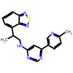 Cc1ccc(-c2cc(NCC(C)c3cccc4nsnc34)ncn2)cn1